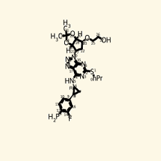 CCCSc1nc(N[C@@H]2C[C@H]2c2ccc(P)c(F)c2)c2nnn([C@@H]3C[C@H](OCCO)[C@H]4OC(C)(C)O[C@H]43)c2n1